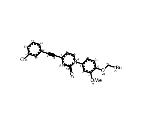 COc1cc(-n2ccc(C#Cc3cccc(Cl)c3)nc2=O)ccc1OCC(C)(C)C